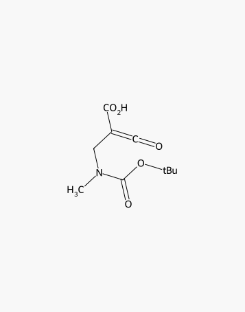 CN(CC(=C=O)C(=O)O)C(=O)OC(C)(C)C